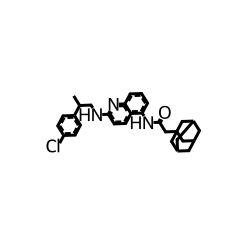 CC(CNc1ccc2c(NC(=O)CC34CC5CC(CC(C5)C3)C4)cccc2n1)c1ccc(Cl)cc1